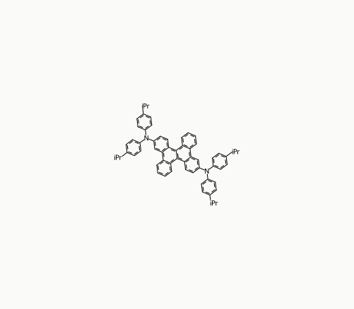 CC(C)c1ccc(N(c2ccc(C(C)C)cc2)c2ccc3c(c2)c2ccccc2c2c4ccc(N(c5ccc(C(C)C)cc5)c5ccc(C(C)C)cc5)cc4c4ccccc4c32)cc1